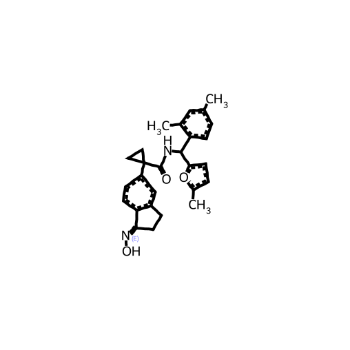 Cc1ccc(C(NC(=O)C2(c3ccc4c(c3)CC/C4=N\O)CC2)c2ccc(C)o2)c(C)c1